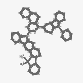 CC1(C)c2ccccc2-c2ccc3cc4c(cc3c21)c1ccccc1n4-c1nc(-c2ccc3c(c2)c2ccccc2n3-c2ccccc2)c2ccc3ccccc3c2n1